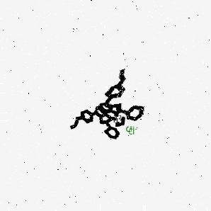 CCCc1ccc(-c2cccc3c2C=C(C2CCCCC2)[CH]3[Ti+2]2([CH]3C(C4CCCCC4)=Cc4c(-c5ccc(CCC)cc5)cccc43)[CH2]C[CH2]2)cc1.[Cl-].[Cl-]